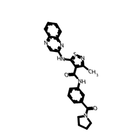 Cc1nsc(Nc2cnc3ccccc3n2)c1C(=O)Nc1cccc(C(=O)N2CCCC2)c1